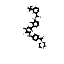 Cc1c(NC(=O)c2cccc(C(C)(C)C)c2)cccc1-c1cn(C)c(=O)c(Nc2ccc(C(=O)N3CCOCC3)cc2)n1